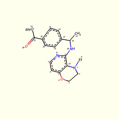 CCN1CCOc2ccnc(NC(C)c3ccc(C(=O)OC)cc3)c21